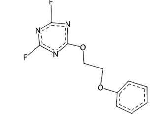 Fc1nc(F)nc(OCCOc2ccccc2)n1